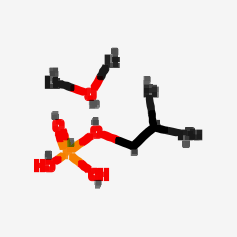 CCCCC(CC)COP(=O)(O)O.CCOCC